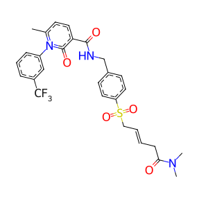 Cc1ccc(C(=O)NCc2ccc(S(=O)(=O)CC=CCC(=O)N(C)C)cc2)c(=O)n1-c1cccc(C(F)(F)F)c1